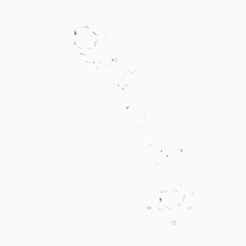 CCCN(CCCCCCNC(=O)COc1ccccc1OC)[C@H]1CCc2c(ccc(O)c2O)C1